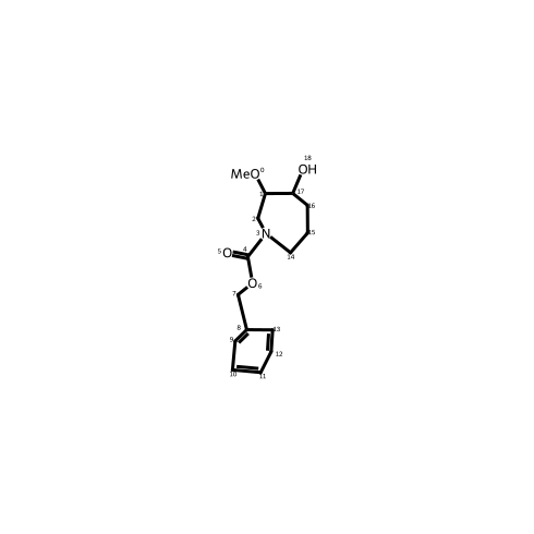 COC1CN(C(=O)OCc2ccccc2)CCCC1O